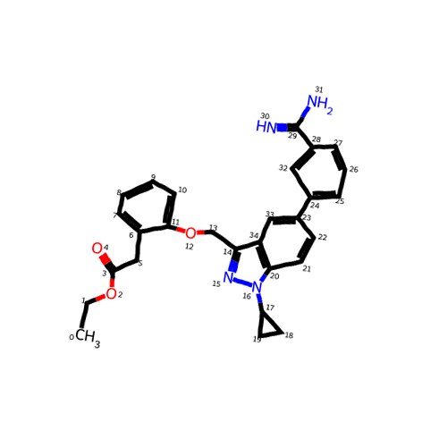 CCOC(=O)Cc1ccccc1OCc1nn(C2CC2)c2ccc(-c3cccc(C(=N)N)c3)cc12